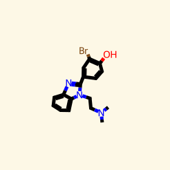 CN(C)CCn1c(-c2ccc(O)c(Br)c2)nc2ccccc21